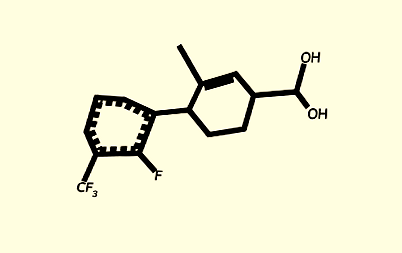 CC1=CC(C(O)O)CCC1c1cccc(C(F)(F)F)c1F